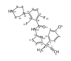 C#C[C@@](C)(c1ccc(Cl)cc1)c1csc(NC(=O)c2c(F)ccc(N3CCNCC3)c2F)n1